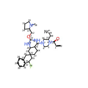 C=CC(=O)N1CCN(C2NC(OCC3CCCN3C)NC3CC4(CCC32)Cc2ccccc2C(F)C4)CC1CC#N